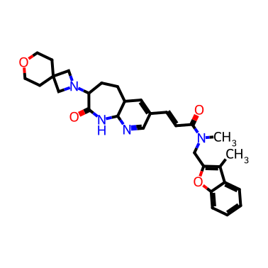 Cc1c(CN(C)C(=O)/C=C/C2=CC3CCC(N4CC5(CCOCC5)C4)C(=O)NC3N=C2)oc2ccccc12